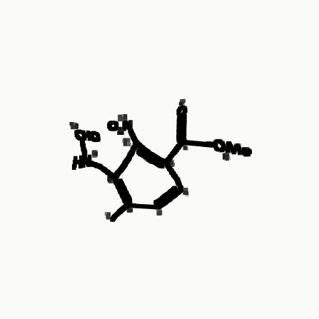 COC(=O)c1ccc(C)c(NC=O)c1[N+](=O)[O-]